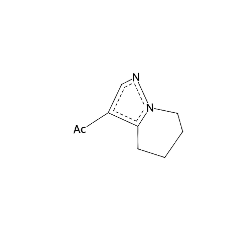 CC(=O)c1cnn2c1CCCC2